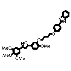 COc1ccc(C2CC(c3cc(OC)c(OC)c(OC)c3)=NO2)cc1OCCCCOc1ccc(-c2nc3ccccc3s2)cc1